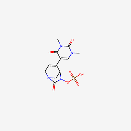 Cn1cc(C2=CCN3CC2N(OS(=O)(=O)O)C3=O)c(=O)n(C)c1=O